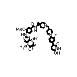 COc1cc(C(=O)NC2CC23CCN(CC2CCN(c4ccc(C5CCC(O)NC5=O)cc4F)CC2)CC3)ccc1Nc1ncc2c(n1)N(C(C)C)CC(F)(F)C(=O)N2C